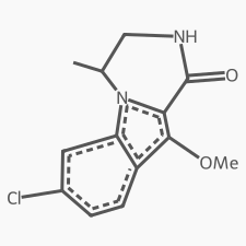 COc1c2n(c3cc(Cl)ccc13)C(C)CNC2=O